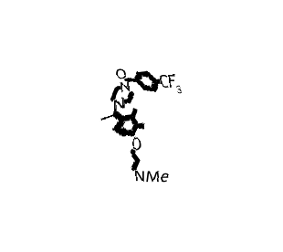 CNCCCOc1ccc([C@@H](C)N2CCN(C(=O)c3ccc(C(F)(F)F)cc3)CC2)c(C)c1C